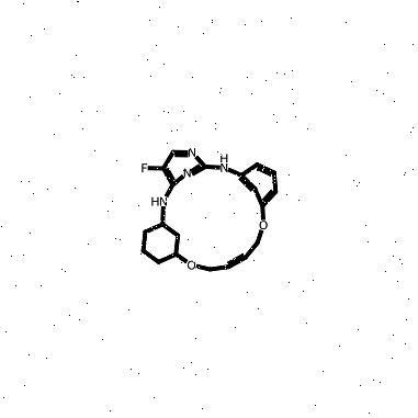 Fc1cnc2nc1NC1CCCC(C1)OC/C=C\COc1cccc(c1)N2